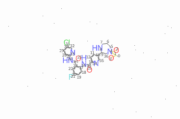 CS(=O)(=O)N1CCCNC(c2ccc(C(=O)Nc3ccc(F)cc3C(=O)Nc3ccc(Cl)cn3)nc2)C1